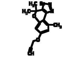 C#CCOc1cc(C)c2c(c1)OC(C)(C)c1[se]nnc1-2